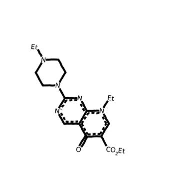 CCOC(=O)c1cn(CC)c2nc(N3CCN(CC)CC3)ncc2c1=O